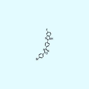 Fc1ccc2[nH]c(-c3ccc(-c4noc(-c5ccc(Br)cc5)n4)cc3)nc2c1